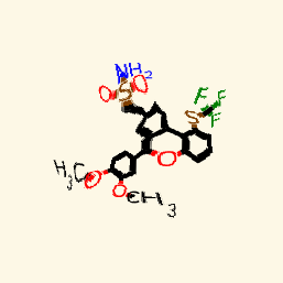 COc1ccc(C2Oc3cccc(SC(F)(F)F)c3-c3ccc(CS(N)(=O)=O)cc32)cc1OC